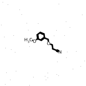 COc1cccc(COCCC#N)c1